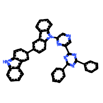 c1ccc(-c2nc(-c3ccccc3)nc(-c3cncc(-n4c5ccccc5c5cc(-c6ccc7[nH]c8ccccc8c7c6)ccc54)n3)n2)cc1